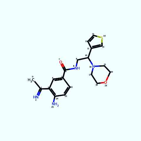 CC(=N)c1cc(C(=O)NCC(c2ccsc2)N2CCOCC2)ccc1N